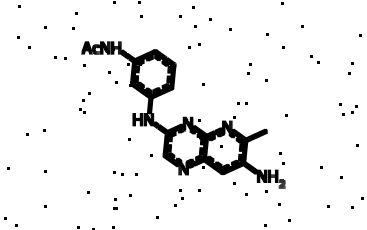 CC(=O)Nc1cccc(Nc2cnc3cc(N)c(C)nc3n2)c1